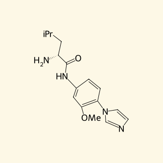 COc1cc(NC(=O)[C@H](N)CC(C)C)ccc1-n1ccnc1